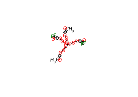 CC(=O)c1ccc(OCCOCCOCC(COCCOCCOc2ccc(C(C)=O)cc2)(COCCOCCOc2ccc(C(=O)B(F)F)cc2)COCCOCCOc2ccc(C(=O)B(F)F)cc2)cc1